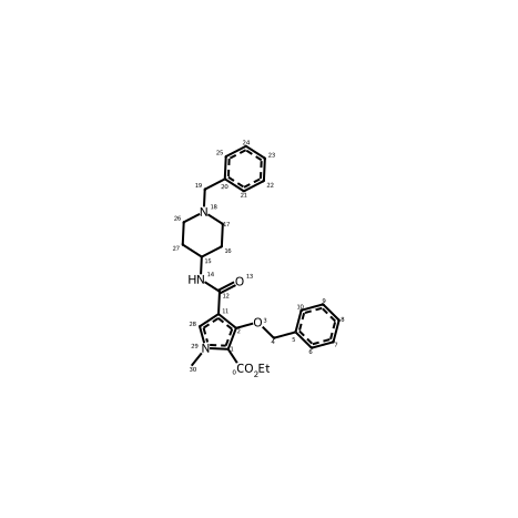 CCOC(=O)c1c(OCc2ccccc2)c(C(=O)NC2CCN(Cc3ccccc3)CC2)cn1C